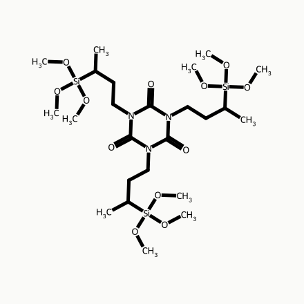 CO[Si](OC)(OC)C(C)CCn1c(=O)n(CCC(C)[Si](OC)(OC)OC)c(=O)n(CCC(C)[Si](OC)(OC)OC)c1=O